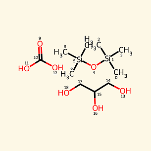 C[Si](C)(C)O[Si](C)(C)C.O=C(O)O.OCC(O)CO